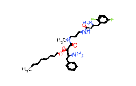 CCCCCCCCOOC(C(=O)N(C)CCCNC(=O)CC(N)Cc1cc(F)ccc1F)C(N)Cc1ccccc1